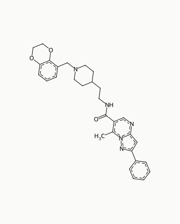 Cc1c(C(=O)NCCC2CCN(Cc3cccc4c3OCCO4)CC2)cnc2cc(-c3ccccc3)nn12